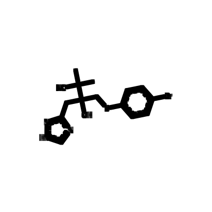 CC(C)(C#N)C(O)(CSc1ccc(Br)cc1)Cc1nc[nH]n1